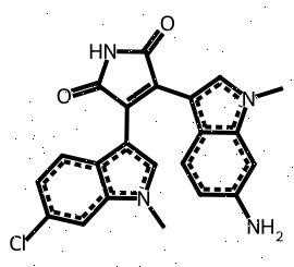 Cn1cc(C2=C(c3cn(C)c4cc(Cl)ccc34)C(=O)NC2=O)c2ccc(N)cc21